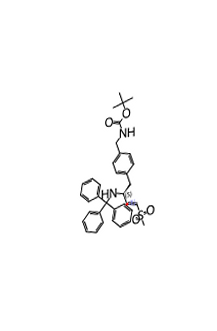 CC(C)(C)OC(=O)NCc1ccc(C[C@@H](/C=C/S(C)(=O)=O)NC(c2ccccc2)(c2ccccc2)c2ccccc2)cc1